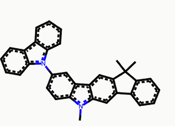 Cn1c2ccc(-n3c4ccccc4c4ccccc43)cc2c2cc3c(cc21)-c1ccccc1C3(C)C